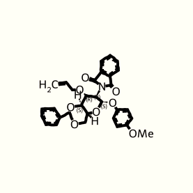 C=CCO[C@H]1[C@@H]2OC(c3ccccc3)OC[C@H]2O[C@@H](Oc2ccc(OC)cc2)[C@@H]1N1C(=O)c2ccccc2C1=O